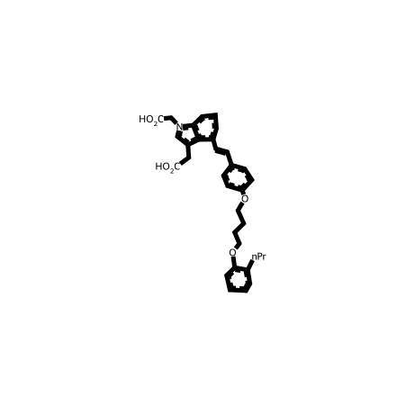 CCCc1ccccc1OCCCCOc1ccc(C=Cc2cccc3c2c(CC(=O)O)cn3CC(=O)O)cc1